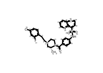 C[C@@H]1CN(CCc2ccc(Cl)cc2F)CCN1C(=O)c1ccc(NS(=O)(=O)c2cccc3cccnc23)cc1